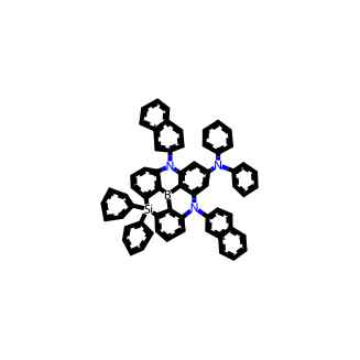 c1ccc(N(c2ccccc2)c2cc3c4c(c2)N(c2ccc5ccccc5c2)c2cccc5c2B4c2c(cccc2[Si]5(c2ccccc2)c2ccccc2)N3c2ccc3ccccc3c2)cc1